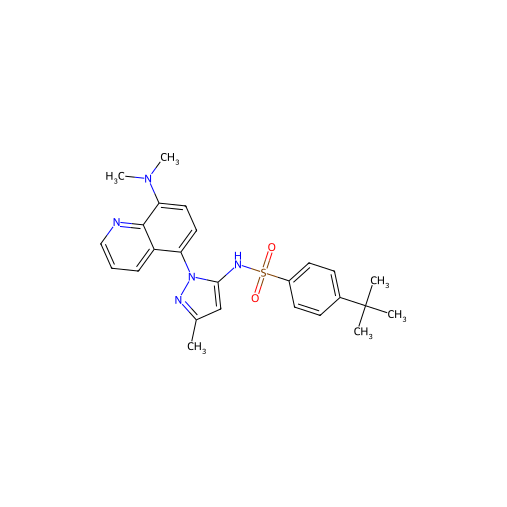 Cc1cc(NS(=O)(=O)c2ccc(C(C)(C)C)cc2)n(-c2ccc(N(C)C)c3ncccc23)n1